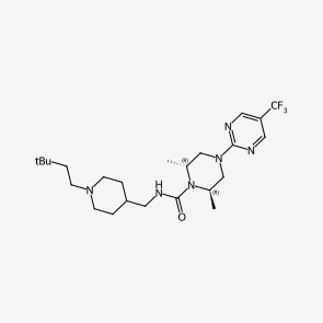 C[C@@H]1CN(c2ncc(C(F)(F)F)cn2)C[C@@H](C)N1C(=O)NCC1CCN(CCC(C)(C)C)CC1